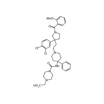 COc1ccccc1C(=O)N1CCC(CCN2CCC(NC(=O)N3CCN(CC(=O)O)CC3)(c3ccccc3)CC2)(c2ccc(Cl)c(Cl)c2)C1